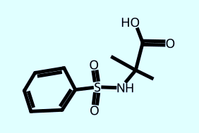 CC(C)(NS(=O)(=O)c1ccccc1)C(=O)O